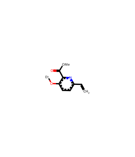 C=Cc1ccc(OCC)c(C(=O)OC)n1